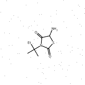 CCC(C)(C)N1C(=O)SC(N)C1=O